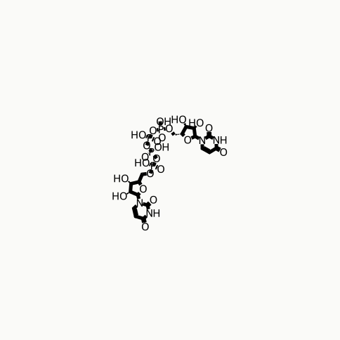 O=c1ccn(C2O[C@H](COP(=O)(O)OP(=O)(O)OP(=O)(O)OP(=O)(O)OCC3OC(n4ccc(=O)[nH]c4=O)[C@H](O)[C@@H]3O)[C@@H](O)[C@H]2O)c(=O)[nH]1